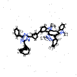 CCn1c2ccccc2c2c1c1c3ccccc3n(CC)c1c1c3cc(-c4ccc(-c5nc(-c6ccccc6)nc(-c6ccccc6)n5)cc4)ccc3n(CC)c21